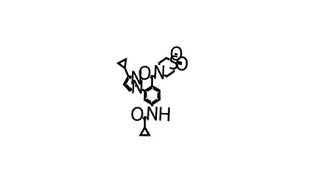 O=C(Nc1ccc(C(=O)N2CCS(=O)(=O)CC2)c(-n2ccc(C3CC3)n2)c1)C1CC1